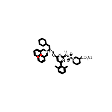 CCOC(=O)C1CCCN(S(=O)(=O)Nc2nc(OC[C@@H](CC3CCCCC3)N(Cc3ccccc3)Cc3ccccc3)cc(-c3c(C)cccc3C)n2)C1